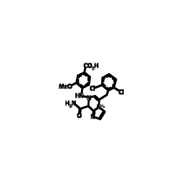 COc1cc(C(=O)O)ccc1NN1C=C(Cc2c(Cl)cccc2Cl)[N+]2C=CN=C2C1C(N)=O